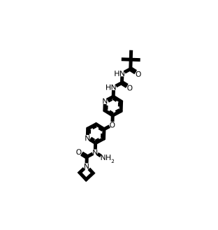 CC(C)(C)C(=O)NC(=O)Nc1ccc(Oc2ccnc(N(N)C(=O)N3CCC3)c2)cn1